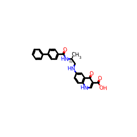 C[C@@H](CNc1ccc2[nH]cc(C(=O)O)c(=O)c2c1)NC(=O)c1ccc(-c2ccccc2)cc1